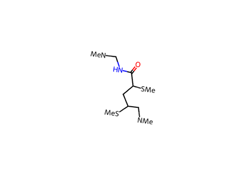 CNCNC(=O)C(CC(CNC)SC)SC